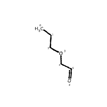 CCCOCC=O